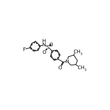 CC1CC(C)CN(C(=O)c2ccc(S(=O)(=O)Nc3ccc(F)cc3)cc2)C1